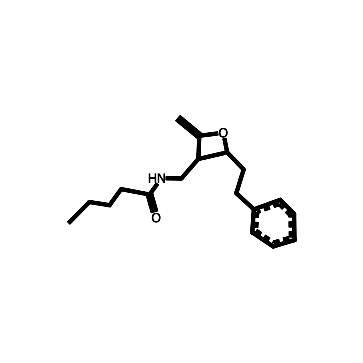 C=C1OC(CCc2ccccc2)C1CNC(=O)CCCC